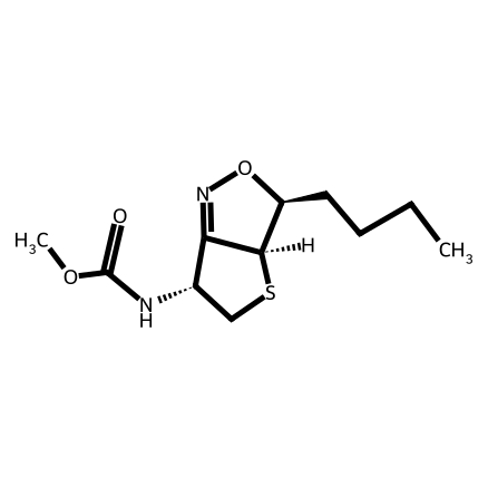 CCCC[C@@H]1ON=C2[C@@H](NC(=O)OC)CS[C@@H]21